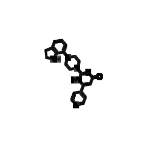 O=c1cc(-c2ccncc2)[nH]c(N2CCN(c3cccc4c3NCC4)CC2)n1